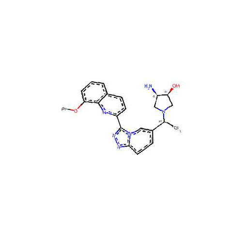 CC(C)Oc1cccc2ccc(-c3nnc4ccc([C@@H](N5C[C@@H](N)[C@@H](O)C5)C(F)(F)F)cn34)nc12